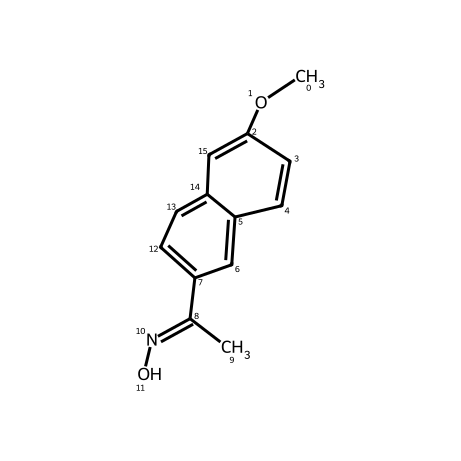 COc1ccc2cc(/C(C)=N/O)ccc2c1